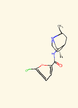 CC1CC2CCN1C[C@@H]2NC(=O)c1ccc(Cl)o1